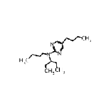 CCCCc1cnc(N(CCCC)C(CC)CC)nc1